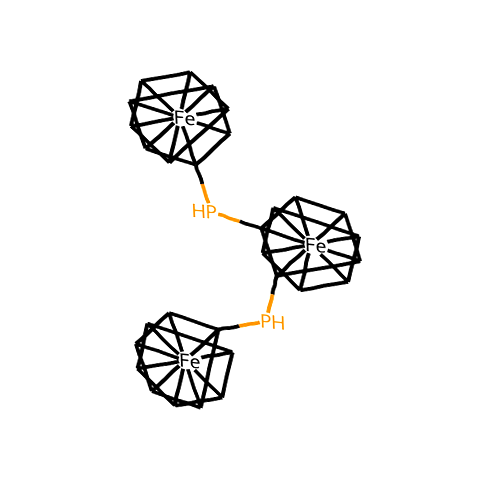 P([C]12[CH]3[CH]4[CH]5[CH]1[Fe]45321678[CH]2[CH]1[CH]6[CH]7[CH]28)[C]12[CH]3[CH]4[CH]5[C]1(P[C]16[CH]7[CH]8[CH]9[CH]1[Fe]89761%10%11%12[CH]6[CH]1[CH]%10[CH]%11[CH]6%12)[Fe]43521678[CH]2[CH]1[CH]6[CH]7[CH]28